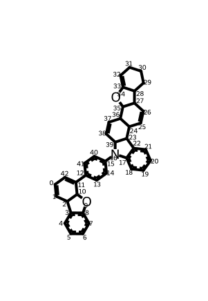 C1=CC2c3ccccc3OC2C(c2ccc(N3c4ccccc4C4C5C=CC6C7CCCC=C7OC6C5C=CC43)cc2)=C1